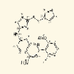 COc1cccc(F)c1CNc1nc(Nc2cnn(CCn3cccc3)c2)ncc1C(N)=O